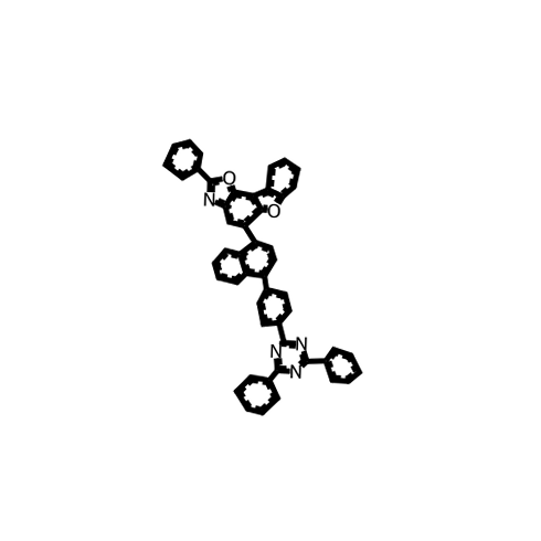 c1ccc(-c2nc(-c3ccccc3)nc(-c3ccc(-c4ccc(-c5cc6nc(-c7ccccc7)oc6c6c5oc5ccccc56)c5ccccc45)cc3)n2)cc1